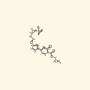 CCOC(=O)c1ccc(-n2ccc(OCCC3CC3C(F)(F)F)n2)nc1Cl